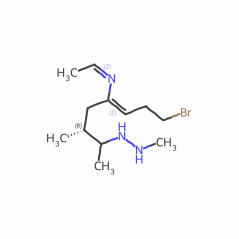 C/C=N\C(=C/CCBr)C[C@@H](C)C(C)NNC